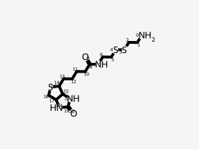 NCCSSCCNC(=O)CCCCC1SCC2NC(=O)NC21